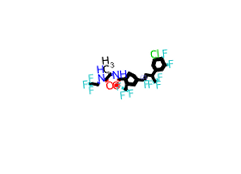 CC(NC(=O)c1ccc(/C(F)=C/C(c2cc(F)c(F)c(Cl)c2)C(F)(F)F)cc1C(F)(F)F)C(=O)NCC(F)(F)F